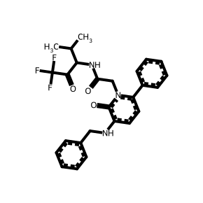 CC(C)C(NC(=O)Cn1c(-c2ccccc2)ccc(NCc2ccccc2)c1=O)C(=O)C(F)(F)F